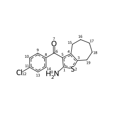 Nc1sc2c(c1C(=O)c1ccc(Cl)cc1)CCCCC2